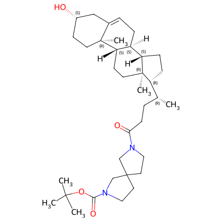 C[C@H](CCC(=O)N1CCC2(CCN(C(=O)OC(C)(C)C)C2)C1)[C@H]1CC[C@H]2[C@@H]3CC=C4C[C@@H](O)CC[C@]4(C)[C@H]3CC[C@]12C